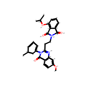 COc1ccc2c(=O)n(C3=CC=CC(C)C3)c(CCN3C(=O)c4cccc(OC(C)C)c4C3=O)nc2c1